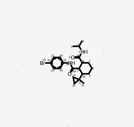 CC(C)NC(=O)C1CCCC(C2(C)CC2)C1C(=O)Nc1ccc(Br)cc1